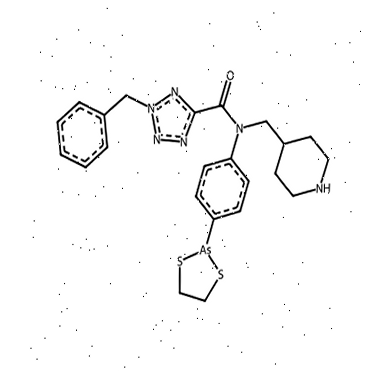 O=C(c1nnn(Cc2ccccc2)n1)N(CC1CCNCC1)c1ccc([As]2SCCS2)cc1